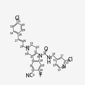 N#Cc1cc2c3c(n(C(=O)NCc4ccnc(Cl)c4)c2cc1F)CCN(C/C=C/c1ccc(Cl)cc1)C3